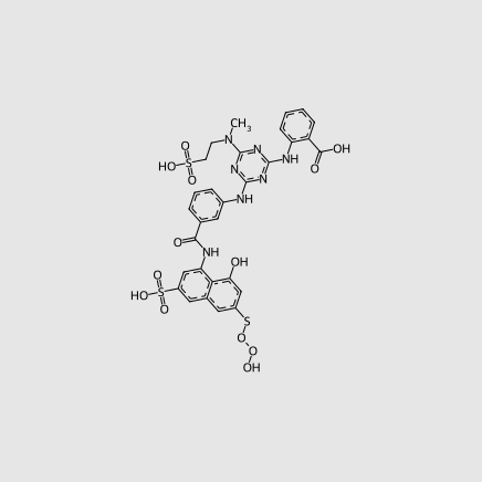 CN(CCS(=O)(=O)O)c1nc(Nc2cccc(C(=O)Nc3cc(S(=O)(=O)O)cc4cc(SOOO)cc(O)c34)c2)nc(Nc2ccccc2C(=O)O)n1